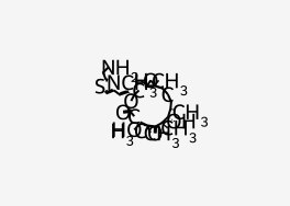 CC(=Cc1csc(CN)n1)[C@@H]1C[C@@H]2O[C@]2(C)CCC[C@H](C)[C@H](O)[C@@H](C)C(=O)C(C)(C)[C@@H](O)CC(=O)O1